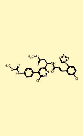 COC(=O)CC(NC(=O)C=Cc1cc(Cl)ccc1-n1cnnn1)c1cc(-c2ccc(NC(=O)OC)cc2)c(Cl)nn1